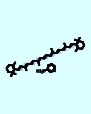 CC1=C(/C=C/C(C)=C/C=C/C(C)=C/C=C/C=C(C)/C=C/C=C(C)/C=C/C2=C(C)CCCC2(C)C)C(C)(C)CCC1.O=C(O)c1cccnc1